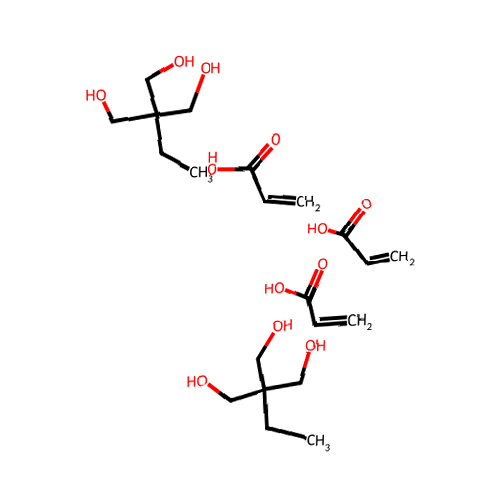 C=CC(=O)O.C=CC(=O)O.C=CC(=O)O.CCC(CO)(CO)CO.CCC(CO)(CO)CO